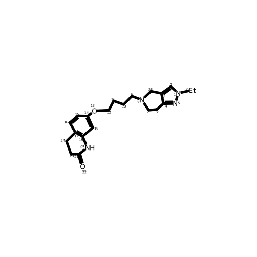 CCn1cc2c(n1)CCN(CCCCOc1ccc3c(c1)NC(=O)CC3)C2